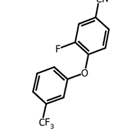 N#Cc1ccc(Oc2cccc(C(F)(F)F)c2)c(F)c1